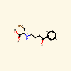 O=C(CCCN[C@H](CS)C(=O)O)c1ccccc1